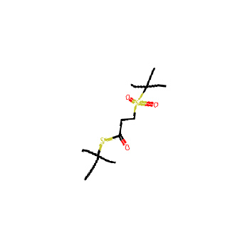 CC(C)(C)SC(=O)CCS(=O)(=O)C(C)(C)C